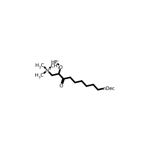 CCCCCCCCCCCCCCCCC(=O)C(C[N+](C)(C)C)O[PH-]